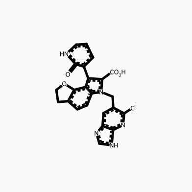 O=C(O)c1c(-c2ccc[nH]c2=O)c2c3c(ccc2n1Cc1cc2nc[nH]c2nc1Cl)CCO3